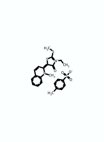 CC[N+]1=C(SC)SC(=C2C=Cc3ccccc3N2C)C1=O.Cc1ccc(S(=O)(=O)[O-])cc1